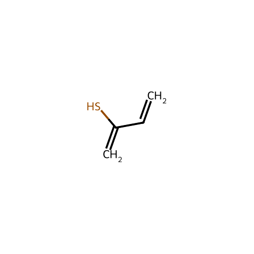 C=CC(=C)S